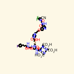 N#C[C@H]1CC(F)(F)CN1C(=O)CNC(=O)c1ccnc2ccc(OCCCCN3CCN(C(=O)C(O)CSCCNC(=O)C(CCOCCNC(O)CCCc4ccc(I)cc4)NC(=O)CN4CCN(CC(=O)O)CCN(CC(=O)O)CCN(CC(=O)O)CC4)CC3)cc12